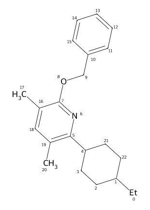 CCC1CCC(c2nc(OCc3ccccc3)c(C)cc2C)CC1